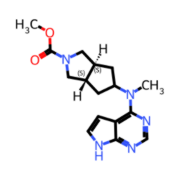 COC(=O)N1C[C@H]2CC(N(C)c3ncnc4[nH]ccc34)C[C@@H]2C1